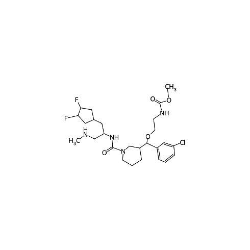 CNCC(CC1CC(F)C(F)C1)NC(=O)N1CCCC(C(OCCNC(=O)OC)c2cccc(Cl)c2)C1